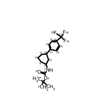 CC(C)(C)OC(=O)NC1CCCC(c2ccc(C(F)(F)F)cc2)C1